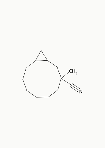 CC1(C#N)CCCCCCC2CC2C1